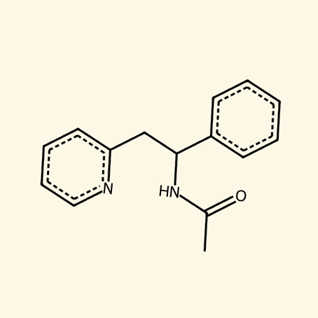 CC(=O)NC(Cc1ccccn1)c1ccccc1